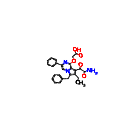 CCc1c(C(=O)C(N)=O)c2c(OCC(=O)O)nc(-c3ccccc3)cn2c1Cc1ccccc1